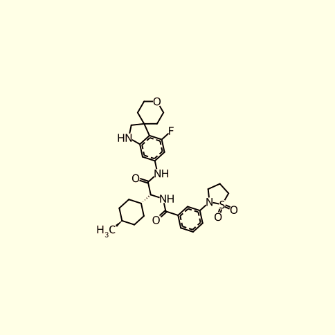 C[C@H]1CC[C@H](C(NC(=O)c2cccc(N3CCCS3(=O)=O)c2)C(=O)Nc2cc(F)c3c(c2)NCC32CCOCC2)CC1